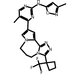 Cc1cc(Nc2ncc(C)c(-c3cc4n(c3)CCCn3c-4nnc3C3(C(F)(F)F)CCC3)n2)on1